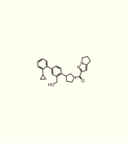 O=C(c1cc2n(n1)CCC2)N1CCC(c2ccc(-c3ccccc3C3CC3)cc2CO)C1